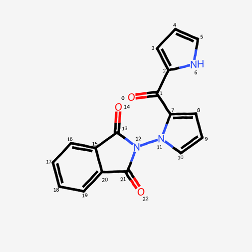 O=C(c1ccc[nH]1)c1cccn1N1C(=O)c2ccccc2C1=O